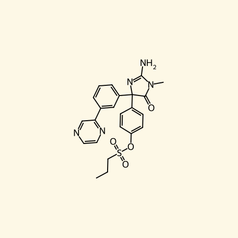 CCCS(=O)(=O)Oc1ccc(C2(c3cccc(-c4cnccn4)c3)N=C(N)N(C)C2=O)cc1